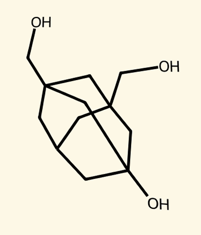 OCC12CC3CC(O)(C1)CC(CO)(C3)C2